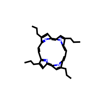 CCCC1=Cc2nc1ccc1nc(c3cc(CCC)c(ccc4[nH]c2cc4CCC)[nH]3)C=C1CCC